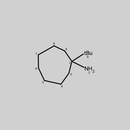 CC(C)(C)C1(N)CCCCCCC1